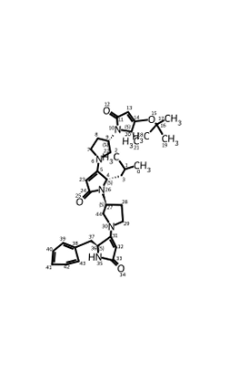 CC(C)C[C@H]1C(N2CC[C@H](N3C(=O)C=C(OC(C)(C)C)[C@@H]3C)C2)=CC(=O)N1[C@H]1CCN(C2=CC(=O)N[C@H]2Cc2ccccc2)C1